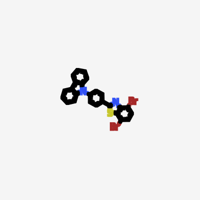 Brc1ccc(Br)c2sc(-c3ccc(-n4c5ccccc5c5ccccc54)cc3)nc12